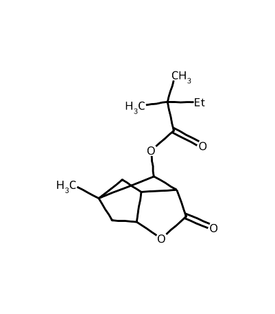 CCC(C)(C)C(=O)OC1C2C(=O)OC3CC1(C)CC32